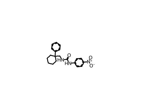 O=C(NCC1(c2ccccc2)CCCCC1)Nc1ccc([N+](=O)[O-])cc1